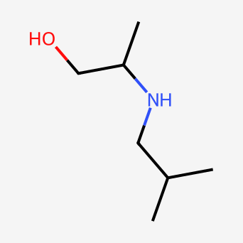 CC(C)CNC(C)CO